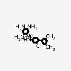 Cc1cc(C)cc(-c2ccc(NS(=O)(=O)c3cc(N)c(N)cc3C)cc2Cl)c1